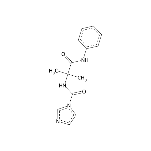 CC(C)(NC(=O)n1ccnc1)C(=O)Nc1ccccc1